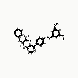 COc1cc(COc2ccc(-c3cc(N[C@@H](Cc4ccccc4)C(=O)O)ncn3)cc2)cc(OC)c1